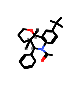 CC(=O)N1c2ccc(C(C)(C)C)cc2[C@H]2OCCC[C@H]2[C@@H]1C1C=CC=CC1